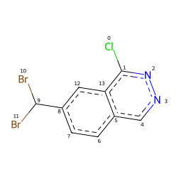 Clc1nncc2ccc(C(Br)Br)cc12